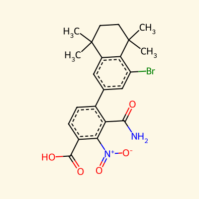 CC1(C)CCC(C)(C)c2c(Br)cc(-c3ccc(C(=O)O)c([N+](=O)[O-])c3C(N)=O)cc21